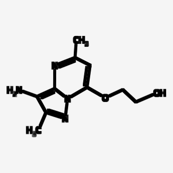 Cc1cc(OCCO)n2nc(C)c(N)c2n1